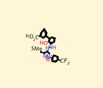 CSCC1=N[N+]([O-])(c2ccc(C(F)(F)F)cc2)CC1=NNc1cccc(-c2cccc(C(=O)O)c2)c1O